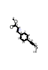 COC(=O)/C=C/c1ccc(C#CSI)cc1